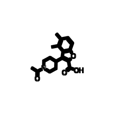 CC(=O)N1CCC(c2c(C(=O)O)oc3ccc(C)c(C)c23)CC1